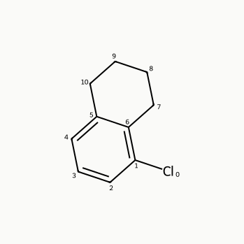 Clc1cccc2c1CCCC2